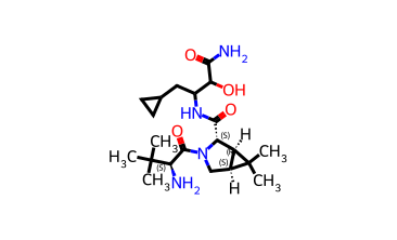 CC(C)(C)[C@H](N)C(=O)N1C[C@H]2[C@@H]([C@H]1C(=O)NC(CC1CC1)C(O)C(N)=O)C2(C)C